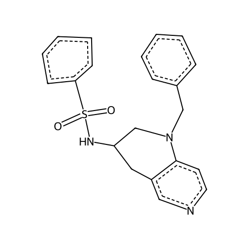 O=S(=O)(NC1Cc2cnccc2N(Cc2ccccc2)C1)c1ccccc1